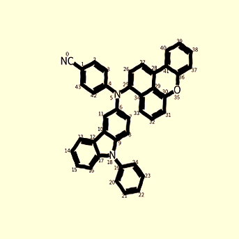 N#Cc1ccc(N(c2ccc3c(c2)c2ccccc2n3-c2ccccc2)c2ccc3c4c(cccc24)Oc2ccccc2-3)cc1